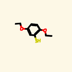 CCOc1ccc(OCC)c(S)c1